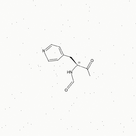 CC(=O)[C@H](Cc1ccncc1)NC=O